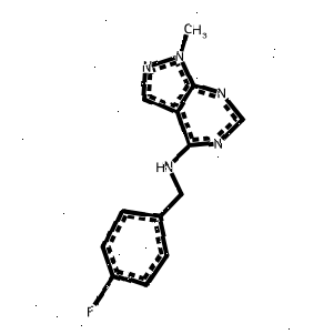 Cn1ncc2c(NCc3ccc(F)cc3)ncnc21